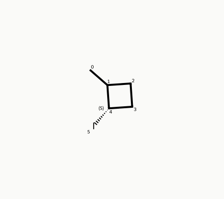 CC1CC[C@@H]1I